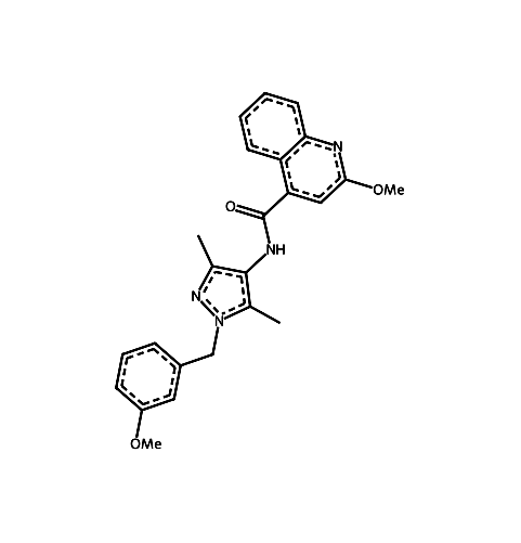 COc1cccc(Cn2nc(C)c(NC(=O)c3cc(OC)nc4ccccc34)c2C)c1